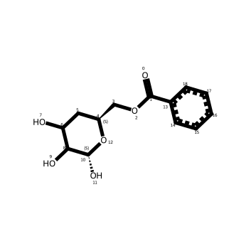 O=C(OC[C@@H]1CC(O)C(O)[C@@H](O)O1)c1ccccc1